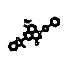 Cc1c(-c2cc(C(=O)[O-])c3c(O[C@H]4C[C@H](c5ccccc5)C4)ccc(C)c3n2)oc2ccccc12.[Na+]